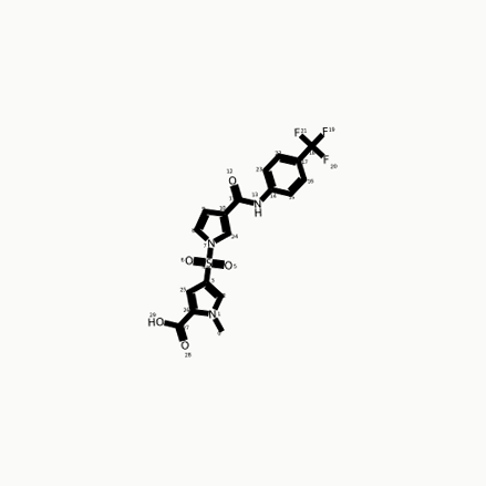 Cn1cc(S(=O)(=O)n2ccc(C(=O)Nc3ccc(C(F)(F)F)cc3)c2)cc1C(=O)O